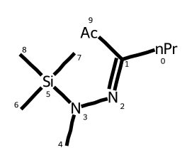 CCCC(=NN(C)[Si](C)(C)C)C(C)=O